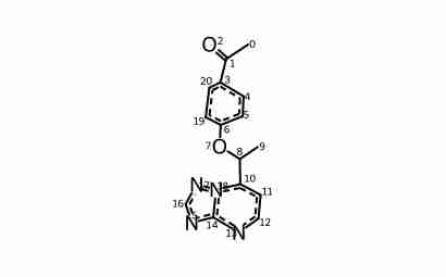 CC(=O)c1ccc(OC(C)c2ccnc3ncnn23)cc1